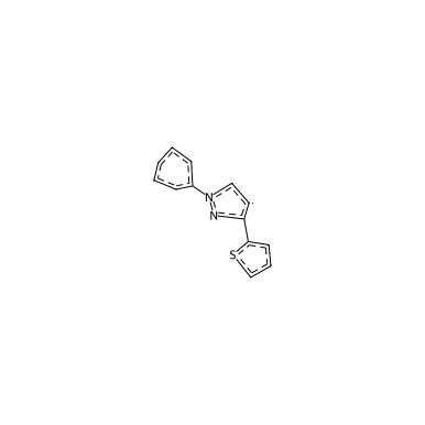 [c]1cn(-c2ccccc2)nc1-c1cccs1